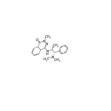 C[C@H](NC1=NN(C)C(=O)C2C=CC=CC12)[C@H](c1ccccc1)N(C)C